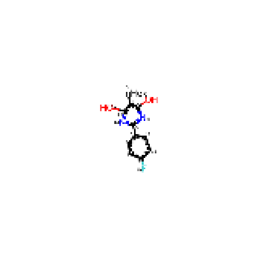 CCCCCCc1c(O)nc(-c2ccc(F)cc2)nc1O